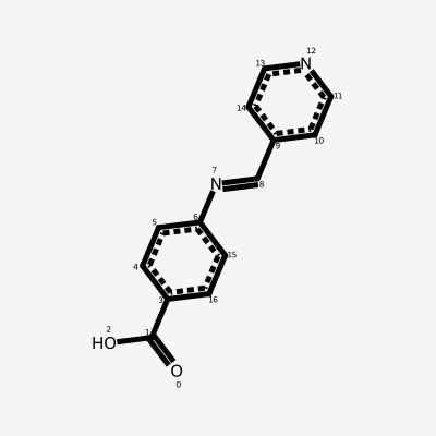 O=C(O)c1ccc(N=Cc2ccncc2)cc1